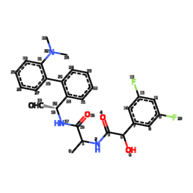 CC(NC(=O)C(O)c1cc(F)cc(F)c1)C(=O)N[C@H](C=O)c1ccccc1-c1ccccc1N(C)C